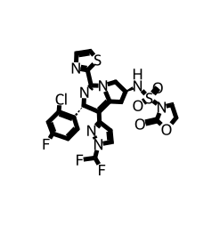 O=C1OCCN1S(=O)(=O)N[C@H]1CC2=C(c3ccn(C(F)F)n3)[C@H](c3ccc(F)cc3Cl)N=C(c3nccs3)N2C1